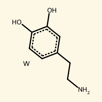 NCCc1ccc(O)c(O)c1.[W]